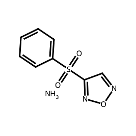 N.O=S(=O)(c1ccccc1)c1cnon1